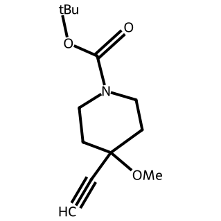 C#CC1(OC)CCN(C(=O)OC(C)(C)C)CC1